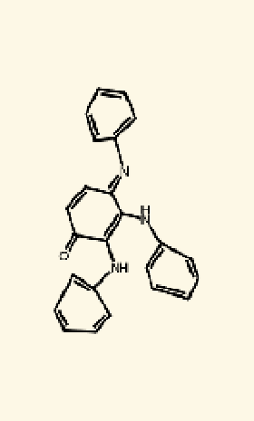 O=C1C=CC(=Nc2ccccc2)C(Nc2ccccc2)=C1Nc1ccccc1